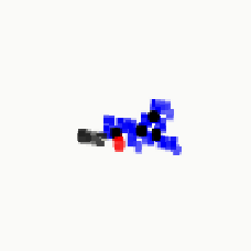 NC(=O)NC=O.Nc1nc(N)nc(N)n1